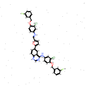 Fc1cccc(COc2ccc(N=Cc3ccc(-c4ccc5ncnc(Nc6ccc(OCc7cccc(F)c7)c(Cl)c6)c5c4)o3)cc2Cl)c1